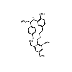 COc1cc(CO)c(CCCCc2ccc(OC)c(NC(C(=O)O)c3ccc(F)cc3)c2)c(OC)c1